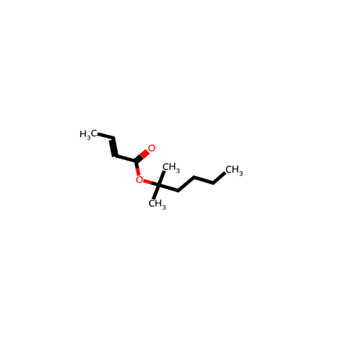 C/C=C/C(=O)OC(C)(C)CCCC